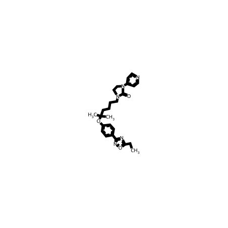 CCc1nc(-c2ccc(OC(C)(C)CCCCN3CCN(c4ccncc4)C3=O)cc2)no1